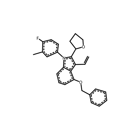 C=Cc1c(C2CCCO2)n(-c2ccc(F)c(C)c2)c2cccc(OCc3ccccc3)c12